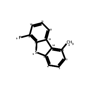 Cc1cccc2sc3c(F)cccc3c12